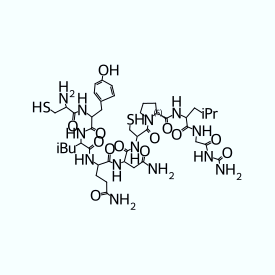 CCC(C)C(NC(=O)C(Cc1ccc(O)cc1)NC(=O)C(N)CS)C(=O)NC(CCC(N)=O)C(=O)NC(CC(N)=O)C(=O)NC(CS)C(=O)N1CCC[C@H]1C(=O)NC(CC(C)C)C(=O)NCC(=O)NC(N)=O